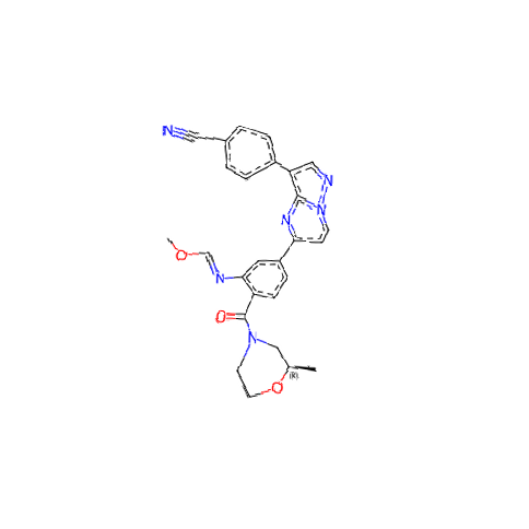 COC=Nc1cc(-c2ccn3ncc(-c4ccc(C#N)cc4)c3n2)ccc1C(=O)N1CCO[C@H](C)C1